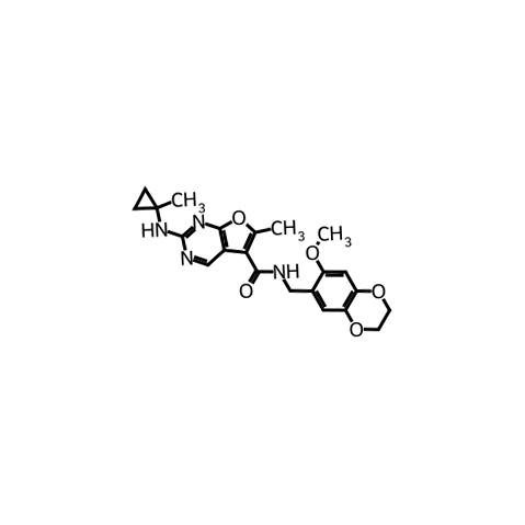 COc1cc2c(cc1CNC(=O)c1c(C)oc3nc(NC4(C)CC4)ncc13)OCCO2